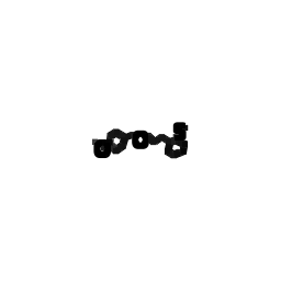 COc1ccc(COC=CCc2ccccc2SC)cc1